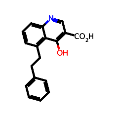 O=C(O)c1cnc2cccc(CCc3ccccc3)c2c1O